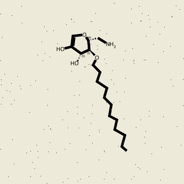 CCCCCCCCCCCCO[C@H]1[C@H](O)C(O)=CO[C@@H]1CN